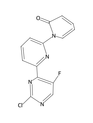 O=c1ccccn1-c1cccc(-c2nc(Cl)ncc2F)n1